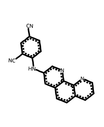 N#Cc1ccc(Nc2cnc3c(ccc4cccnc43)c2)c(C#N)c1